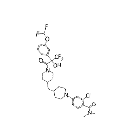 CN(C)C(=O)c1ccc(N2CCC(CC3CCN(C(=O)C(O)(c4cccc(OC(F)F)c4)C(F)(F)F)CC3)CC2)cc1Cl